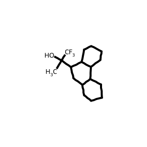 CC(O)(C1CC2CCCCC2C2CCCCC21)C(F)(F)F